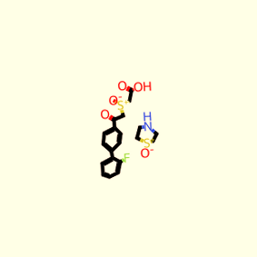 O=C(O)C[S+]([O-])CC(=O)c1ccc(-c2ccccc2F)cc1.[O-][S+]1CCNCC1